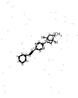 CN1C[C@@H]2C[C@H]1CN2c1cnc(C#Cc2ccccc2)cn1